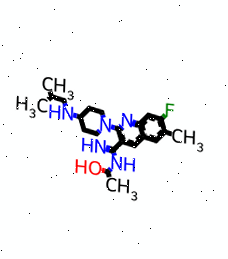 Cc1cc2cc(C(=N)NC(C)O)c(N3CCC(NCC(C)C)CC3)nc2cc1F